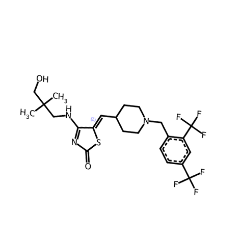 CC(C)(CO)CNC1=NC(=O)S/C1=C\C1CCN(Cc2ccc(C(F)(F)F)cc2C(F)(F)F)CC1